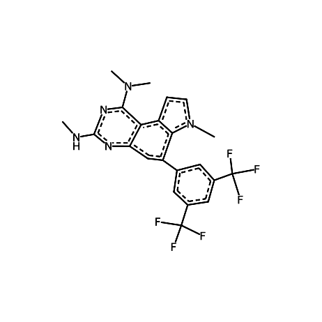 CNc1nc(N(C)C)c2c(cc(-c3cc(C(F)(F)F)cc(C(F)(F)F)c3)c3c2ccn3C)n1